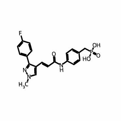 Cn1cc(/C=C/C(=O)Nc2ccc(CP(=O)(O)O)cc2)c(-c2ccc(F)cc2)n1